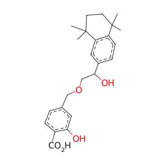 CC1(C)CCC(C)(C)c2cc(C(O)COCc3ccc(C(=O)O)c(O)c3)ccc21